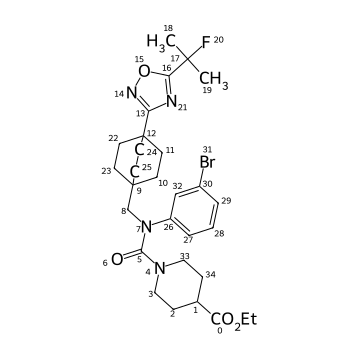 CCOC(=O)C1CCN(C(=O)N(CC23CCC(c4noc(C(C)(C)F)n4)(CC2)CC3)c2cccc(Br)c2)CC1